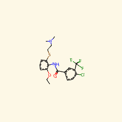 CCOc1cccc(SCCN(C)C)c1NC(=O)c1ccc(Cl)c(C(F)(F)F)c1